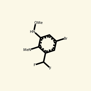 CNc1c(NOC)cc(Br)cc1C(F)F